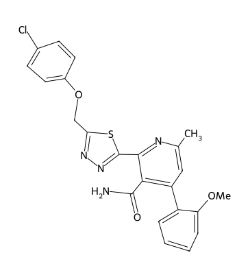 COc1ccccc1-c1cc(C)nc(-c2nnc(COc3ccc(Cl)cc3)s2)c1C(N)=O